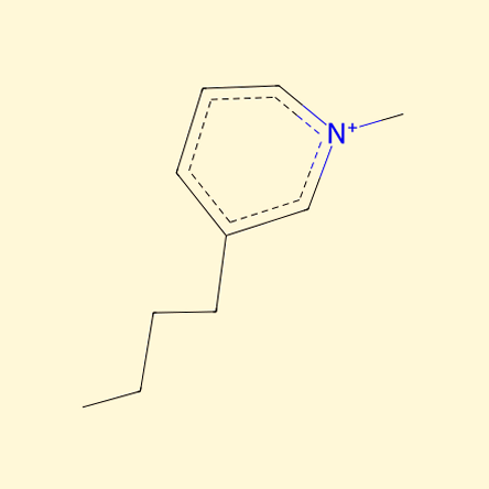 CCCCc1ccc[n+](C)c1